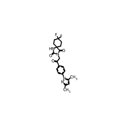 Cc1cc(C)n(-c2ccc(C(=O)CN3C(=O)NC4(CCC(F)(F)CC4)C3=O)cc2)n1